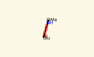 COCCNCCOCCOCCOCCC(=O)CC(C)(C)C